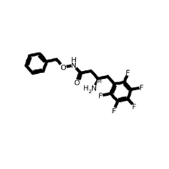 N[C@@H](CC(=O)NOCc1ccccc1)Cc1c(F)c(F)c(F)c(F)c1F